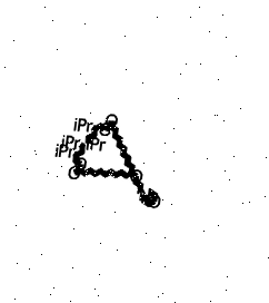 CC(C)CCC(COC(=O)CCCCCCCCCC(CCCCCCCCCC(=O)OCC(CCC(C)C)C(C)C)OCCCN1CCOCC1)C(C)C